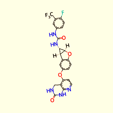 O=C1NCc2c(Oc3ccc4c(c3)[C@H]3[C@H](NC(=O)Nc5ccc(F)c(C(F)(F)F)c5)[C@H]3O4)ccnc2N1